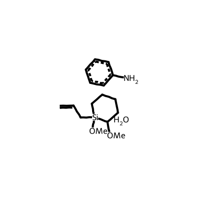 C=CC[Si]1(OC)CCCCC1OC.Nc1ccccc1.O